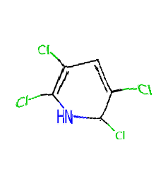 Cl[C]1NC(Cl)=C(Cl)C=C1Cl